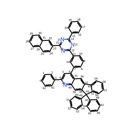 c1ccc(-c2cc(-c3cccc(-c4nc(-c5ccccc5)nc(-c5ccc6ccccc6c5)n4)c3)c3cc4c(cc3n2)C(c2ccccc2)(c2ccccc2)c2ccccc2-4)cc1